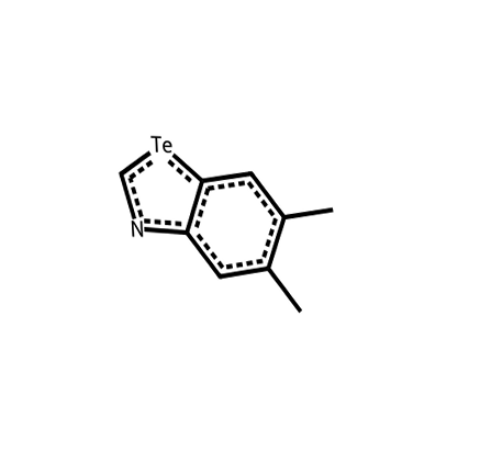 Cc1cc2nc[te]c2cc1C